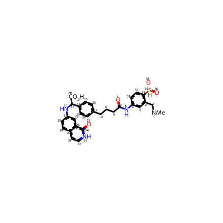 CNCc1cc(NC(=O)CCCc2ccc(C(Nc3ccc4cc[nH]c(=O)c4c3)C(=O)O)cc2)ccc1[SH](=O)=O